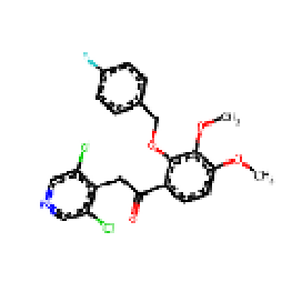 COc1ccc(C(=O)Cc2c(Cl)cncc2Cl)c(OCc2ccc(F)cc2)c1OC